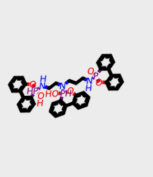 O=P1(NCCCN(CCN[PH]2(O)Oc3ccccc3-c3ccccc32)[PH]2(O)Oc3ccccc3-c3ccccc32)Oc2ccccc2-c2ccccc21